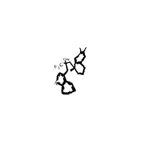 Cc1cc2c(cc1C)C(C)(CC(O)(Cc1ccnc3ccccc13)C(F)(F)F)CCC2